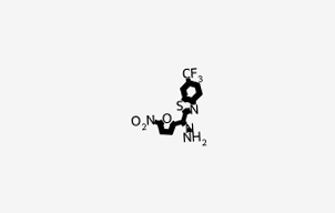 NN=C(c1ccc([N+](=O)[O-])o1)c1nc2ccc(C(F)(F)F)cc2s1